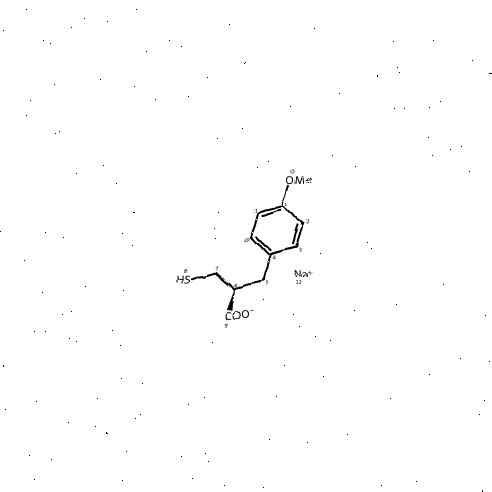 COc1ccc(C[C@H](CS)C(=O)[O-])cc1.[Na+]